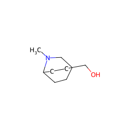 CN1CC2(CO)CCC1CC2